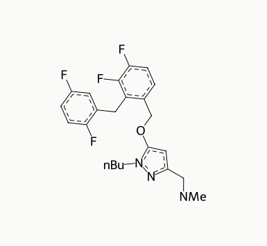 CCCCn1nc(CNC)cc1OCc1ccc(F)c(F)c1Cc1cc(F)ccc1F